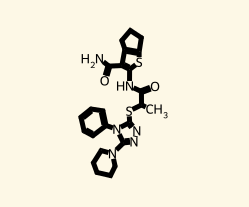 CC(Sc1nnc(N2CCCCC2)n1-c1ccccc1)C(=O)Nc1sc2c(c1C(N)=O)CCC2